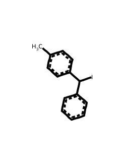 Cc1ccc(C(I)c2ccccc2)cc1